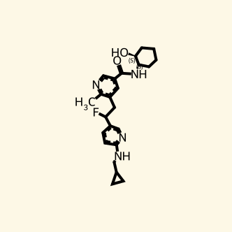 Cc1ncc(C(=O)N[C@H]2CCCC[C@@H]2O)cc1CC(F)c1ccc(NCC2CC2)nc1